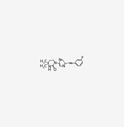 CC1(C)CCN(c2cnc(C#Cc3cccc(F)c3)cn2)C(=O)N1